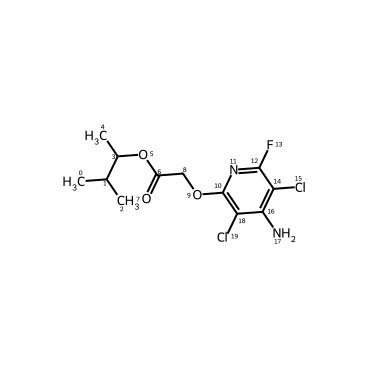 CC(C)C(C)OC(=O)COc1nc(F)c(Cl)c(N)c1Cl